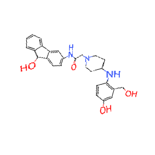 O=C(CN1CCC(Nc2ccc(O)cc2CO)CC1)Nc1ccc2c(c1)-c1ccccc1C2O